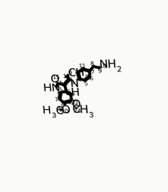 CCC(Nc1ccc(CCN)cc1)=C1C(=O)Nc2cc(OC)c(OC)cc21